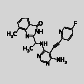 Cc1cccc2c(=O)[nH]c(C(C)Nc3ncnc(N)c3C#Cc3ccc(F)cn3)nc12